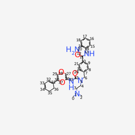 CN(C)CCN(Cc1ccc(C(=O)Nc2ccccc2N)cc1)C(=O)NC1=COC=C(C2=CC=CCC2)O1